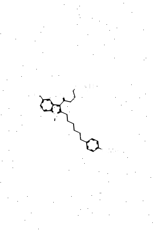 COc1ccc(CCCCCCc2c(C(=O)C[C@@H](C)CC(=O)O)c3cc(Cl)ccc3n2C)cc1